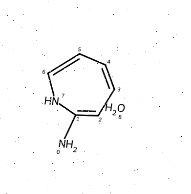 NC1=CC=CC=CN1.O